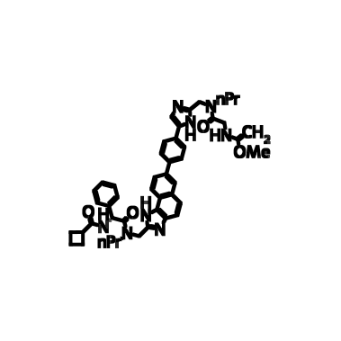 C=C(NCC(=O)N(CCC)Cc1ncc(-c2ccc(-c3ccc4c(ccc5nc(CN(CCC)C(=O)[C@H](NC(=O)C6CCC6)c6ccccc6)[nH]c54)c3)cc2)[nH]1)OC